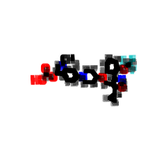 Cn1cc(OC(=O)O)c2ccc(N3CCC(OCc4c(-c5ccccc5OC(F)(F)F)noc4C4CC4)CC3)cc21